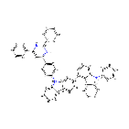 c1ccc(-c2cc(-c3ccc(-n4c5ccccc5c5ccc(-c6cccc7c6c6ccccc6n7-c6ccccc6)cc54)cc3)nc(-c3ccccc3)n2)cc1